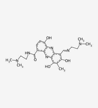 Cc1c(O)c(/C=N/CCN(C)C)c2nc3c(O)ccc(C(=O)NCCN(C)C)c3nc2c1O